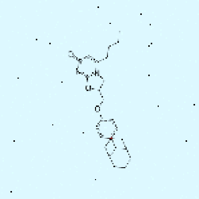 CCCCc1cc(=O)nc2n1CC(COc1ccc(C3C4CCCC3CCC4)cc1)O2